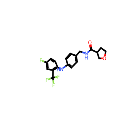 O=C(NCc1ccc(Nc2ccc(F)cc2C(F)(F)F)cc1)C1CCOC1